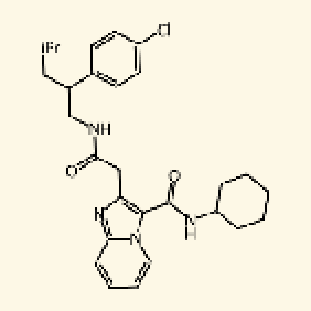 CC(C)CC(CNC(=O)Cc1nc2ccccn2c1C(=O)NC1CCCCC1)c1ccc(Cl)cc1